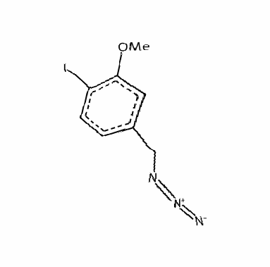 COc1cc(CN=[N+]=[N-])ccc1I